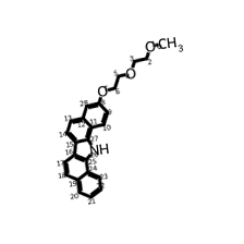 COCCOCCOc1ccc2c(ccc3c4ccc5ccccc5c4[nH]c23)c1